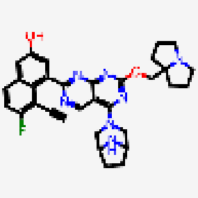 C#Cc1c(F)ccc2cc(O)cc(-c3ncc4c(N5CC6CCC(C5)N6)nc(OCC56CCCN5CCC6)nc4n3)c12